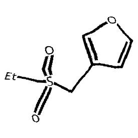 CCS(=O)(=O)Cc1ccoc1